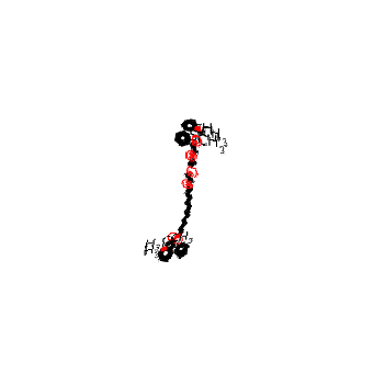 CC(C)(C)[Si](OCCOCCOCCOCCCCCCCCCCCC(=O)O[Si](c1ccccc1)(c1ccccc1)C(C)(C)C)(c1ccccc1)c1ccccc1